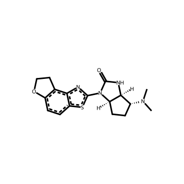 CN(C)[C@@H]1CC[C@@H]2[C@H]1NC(=O)N2c1nc2c3c(ccc2s1)OCC3